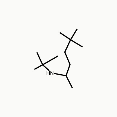 CC(CCC(C)(C)C)NC(C)(C)C